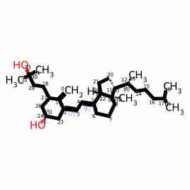 C=C1/C(=C\C=C2/CCC[C@]3(C)[C@@H]([C@H](C)CCCC(C)C)CC[C@@H]23)C[C@@H](O)CC1CCC(C)(C)O